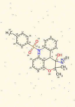 CCNC1(O)C(c2ccccc2NS(=O)(=O)c2ccc(C)cc2)c2ccccc2OC1(C)C